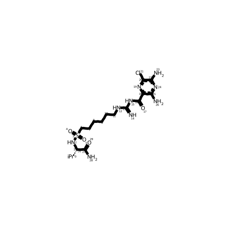 CC(C)[C@H](NS(=O)(=O)CCCCCCNC(=N)NC(=O)c1nc(Cl)c(N)nc1N)C(N)=O